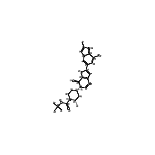 Cc1cn2cc(-c3cc4ncn([C@H]5CCN(C(=O)OC(C)(C)C)[C@@H](C)C5)c(=O)c4s3)cc(F)c2n1